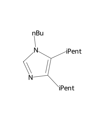 CCCCn1cnc(C(C)CCC)c1C(C)CCC